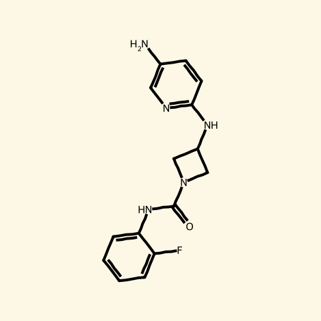 Nc1ccc(NC2CN(C(=O)Nc3ccccc3F)C2)nc1